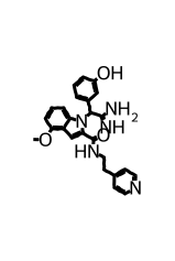 COc1cccc2c1cc(C(=O)NCCc1ccncc1)n2C(C(=N)N)c1cccc(O)c1